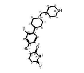 O=C1CC[C@H](Nc2ccc(C3CCN(CC4CCNCC4)CC3)c(F)c2)C(=O)N1